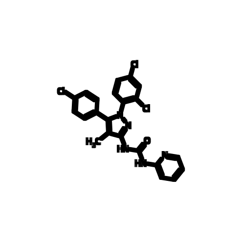 Cc1c(NC(=O)Nc2ccccn2)nn(-c2ccc(Cl)cc2Cl)c1-c1ccc(Cl)cc1